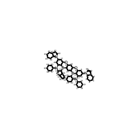 c1c2ccccc2n(-c2cc3c4c(c2)N(c2ccccc2)c2ccccc2B4c2cc4c(cc2O3)Oc2cc(-n3ccc5ccccc53)cc3c2B4c2c(sc4ccccc24)N3c2ccccc2)c#1